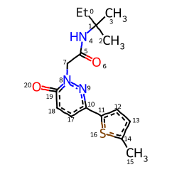 CCC(C)(C)NC(=O)Cn1nc(-c2ccc(C)s2)ccc1=O